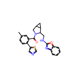 Cc1ccc(-c2cncs2)c(C(=O)N2CC3CC3C2CNc2nc3ccccc3o2)c1